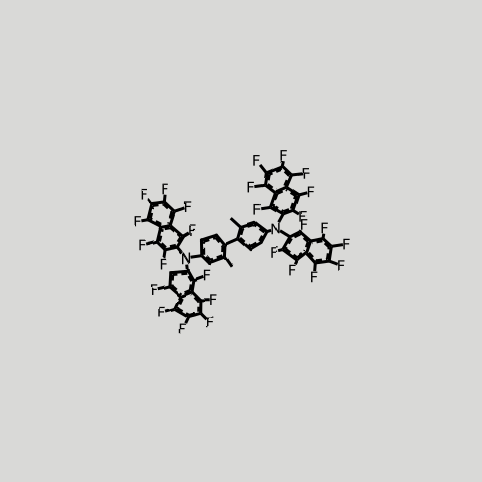 Cc1cc(N(c2cc(F)c3c(F)c(F)c(F)c(F)c3c2F)c2c(F)c(F)c3c(F)c(F)c(F)c(F)c3c2F)ccc1-c1ccc(N(c2c(F)c(F)c3c(F)c(F)c(F)c(F)c3c2F)c2c(F)c(F)c3c(F)c(F)c(F)c(F)c3c2F)cc1C